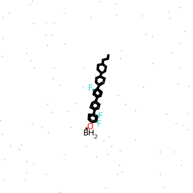 BCOc1ccc(-c2ccc(-c3ccc(C4=CCC(C5CCC(CCC)CC5)CC4)c(F)c3)cc2)c(F)c1F